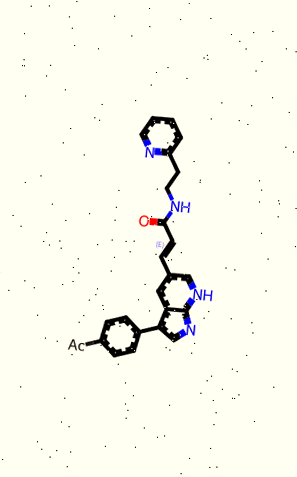 CC(=O)c1ccc(-c2cnc3[nH]cc(/C=C/C(=O)NCCc4ccccn4)cc2-3)cc1